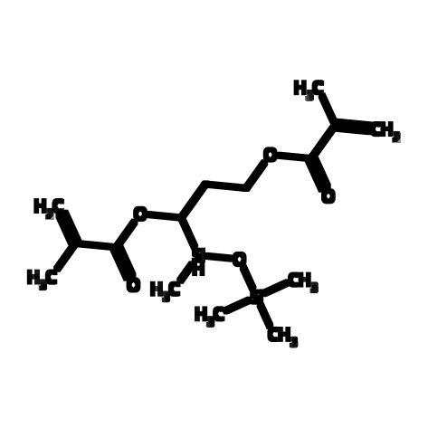 C=C(C)C(=O)OCCC(OC(=O)C(=C)C)[SiH](C)O[Si](C)(C)C